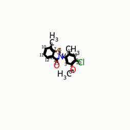 COc1cc(-n2sc3c(C)cccc3c2=O)c(C)cc1Cl